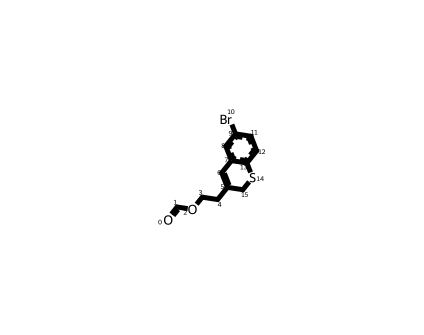 O=COCCC1=Cc2cc(Br)ccc2SC1